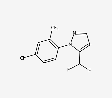 FC(F)c1[c]cnn1-c1ccc(Cl)cc1C(F)(F)F